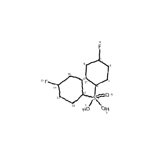 O=S(O)(O)(C1CCC(F)CC1)C1CCC(F)CC1